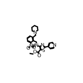 CCOC(=O)c1sc(-c2ccncc2)nc1NCc1c(CN2CCCCC2)cccc1[N+](=O)[O-]